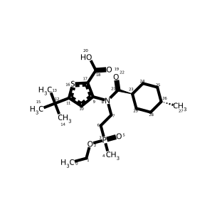 CCOP(C)(=O)CCN(c1cc(C(C)(C)C)sc1C(=O)O)C(=O)[C@H]1CC[C@H](C)CC1